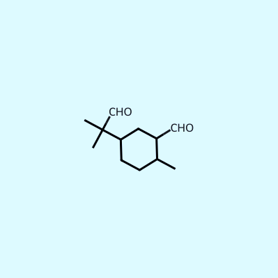 CC1CCC(C(C)(C)C=O)CC1C=O